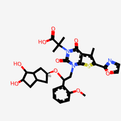 COc1ccccc1C(Cn1c(=O)n(C(C)(C)C(=O)O)c(=O)c2c(C)c(-c3ncco3)sc21)O[C@H]1CC2CC(O)C(O)C2C1